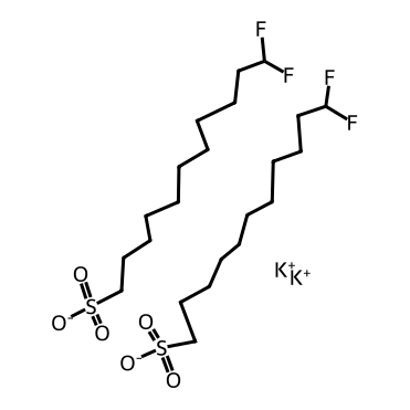 O=S(=O)([O-])CCCCCCCCCCC(F)F.O=S(=O)([O-])CCCCCCCCCCC(F)F.[K+].[K+]